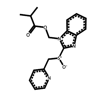 CC(C)C(=O)OCn1c([S+]([O-])Cc2ccccn2)nc2ccccc21